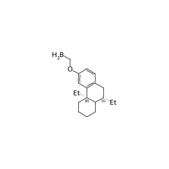 BCOc1ccc2c(c1)[C@]1(CC)CCCCC1[C@@H](CC)C2